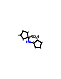 O=C(O)C1(NC2CCCC2)CCCC1